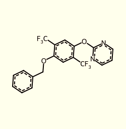 FC(F)(F)c1cc(Oc2ncccn2)c(C(F)(F)F)cc1OCc1ccccc1